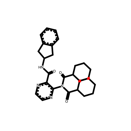 O=C(NC1Cc2ccccc2C1)c1nccnc1N(C(=O)C1CCCCC1)C(=O)C1CCCCC1